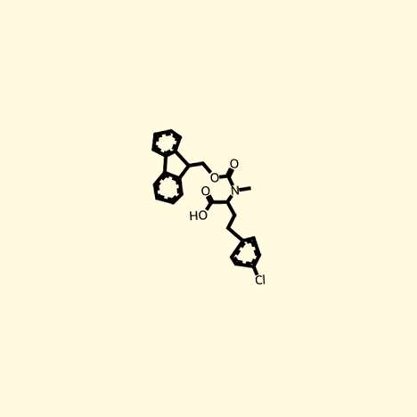 CN(C(=O)OCC1c2ccccc2-c2ccccc21)C(CCc1ccc(Cl)cc1)C(=O)O